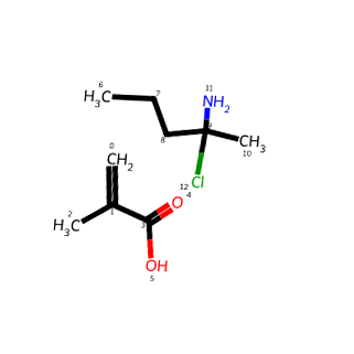 C=C(C)C(=O)O.CCCC(C)(N)Cl